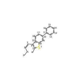 CC/C=C\c1c(C)sc2cc(-c3ccccc3)ccc12